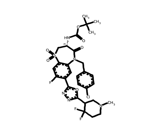 CN1CCC(F)(F)C(c2nnc(-c3cc4c(cc3F)S(=O)(=O)C[C@H](NC(=O)OC(C)(C)C)C(=O)N4Cc3ccc(Cl)cc3)o2)C1